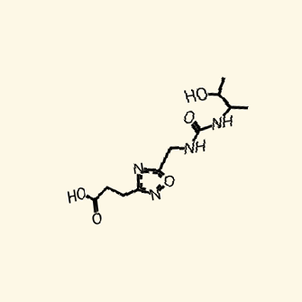 CC(O)C(C)NC(=O)NCc1nc(CCC(=O)O)no1